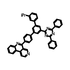 CC(C)c1cccc(-c2cc(-c3ccc(-c4nc5ccccc5c5ccncc45)cc3)cc(-c3nc(-c4ccccc4)nc(-c4ccccc4)n3)c2)c1